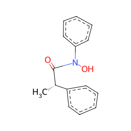 C[C@H](C(=O)N(O)c1ccccc1)c1ccccc1